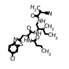 C=C(C#N)C(=O)NCC(NC(=O)[C@H](Cc1nc2ccc(Cl)cc2s1)NC(=O)CCC)[C@@H](C)CC